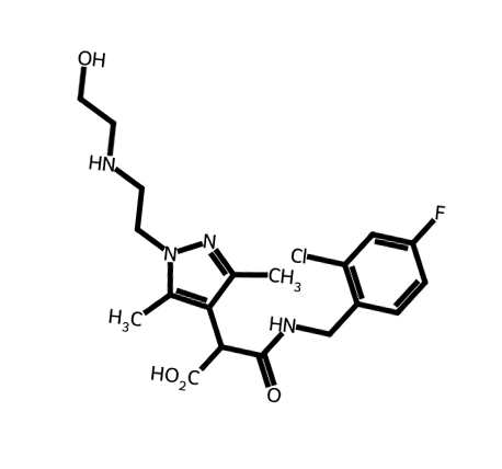 Cc1nn(CCNCCO)c(C)c1C(C(=O)O)C(=O)NCc1ccc(F)cc1Cl